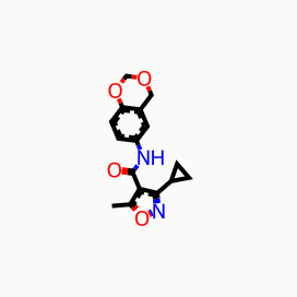 Cc1onc(C2CC2)c1C(=O)Nc1ccc2c(c1)COCO2